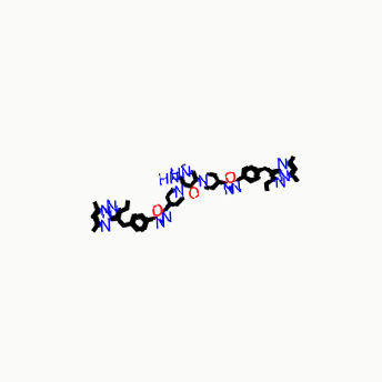 CCc1nn2c(C)cc(C)nc2c1Cc1ccc(-c2nnc(C3CCN(C(CNC)C(=O)C(CNC)N4CCC(c5nnc(-c6ccc(Cc7c(CC)nn8c(C)cc(C)nc78)cc6)o5)CC4)CC3)o2)cc1